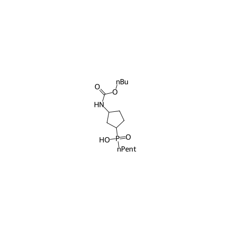 CCCCCP(=O)(O)C1CCC(NC(=O)OCCCC)C1